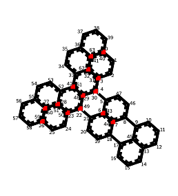 c1ccc(N(c2ccc(-c3cccc4cccc(-c5ccc(N(c6ccccc6)c6ccc7c(ccc8ccccc87)c6)cc5)c34)cc2)c2ccc3c(ccc4ccccc43)c2)cc1